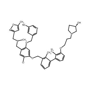 Cc1cc(CN(C)Cc2cc(Cl)c(OCc3cccc(-c4cccc(OCCCN5CC[C@@H](O)C5)c4C)c3C)cc2OCc2cncc(C#N)c2)no1